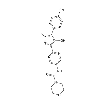 Cc1nn(-c2ccc(NC(=O)N3CCOCC3)cn2)c(O)c1-c1ccc(C#N)cc1